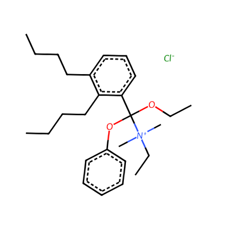 CCCCc1cccc(C(OCC)(Oc2ccccc2)[N+](C)(C)CC)c1CCCC.[Cl-]